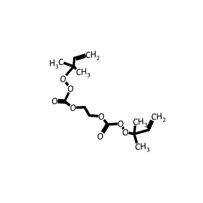 C=CC(C)(C)OOC(=O)OCCOC(=O)OOC(C)(C)C=C